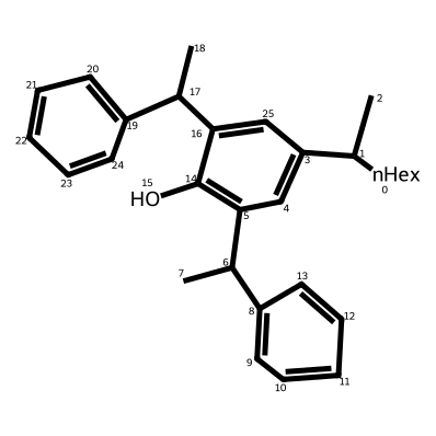 CCCCCCC(C)c1cc(C(C)c2ccccc2)c(O)c(C(C)c2ccccc2)c1